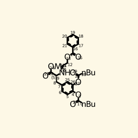 CCCCC(=O)Oc1ccc(C[C@H](NCCOC(=O)c2ccccc2)C(=O)OC)cc1OC(=O)CCCC